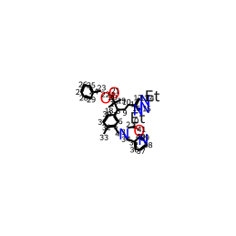 CC[C@@H]1CN(Cc2cc(C(CCc3cn(CC)nn3)C(C)(C)C(=O)OCc3ccccc3)ccc2C)Cc2cccnc2O1